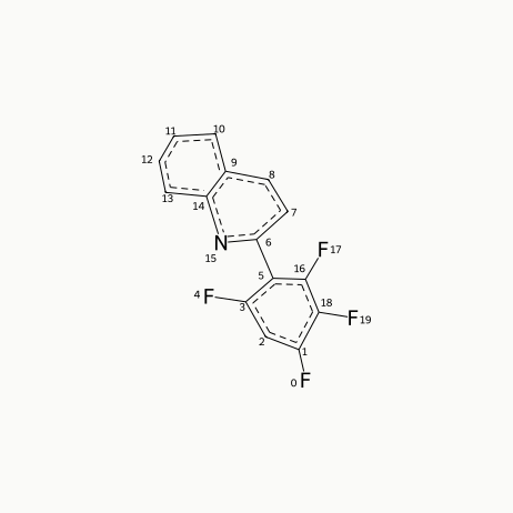 Fc1cc(F)c(-c2ccc3ccccc3n2)c(F)c1F